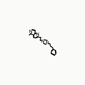 Cc1nccc2nc([CH]CN3CCN(CCCc4ccccc4)CC3)ccc12